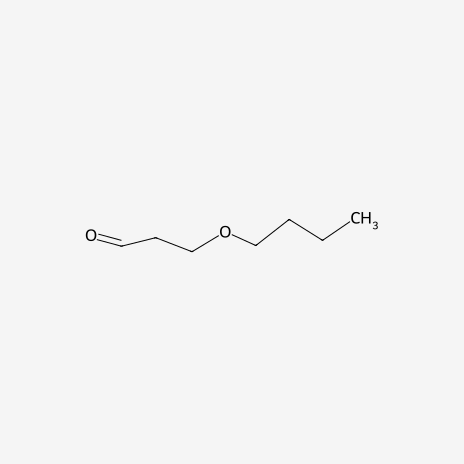 CCCCOCCC=O